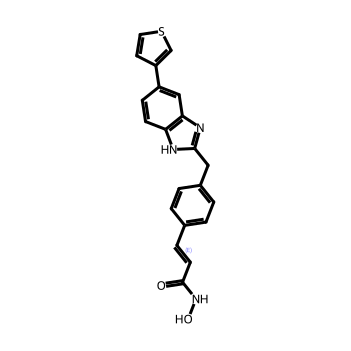 O=C(/C=C/c1ccc(Cc2nc3cc(-c4ccsc4)ccc3[nH]2)cc1)NO